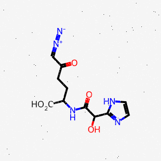 [N-]=[N+]=CC(=O)CCC(NC(=O)C(O)c1ncc[nH]1)C(=O)O